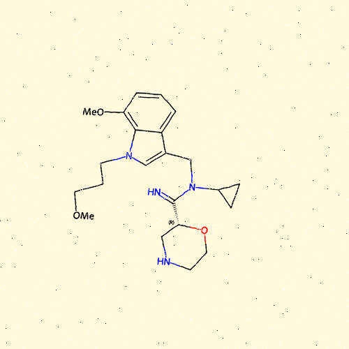 COCCCn1cc(CN(C(=N)[C@H]2CNCCO2)C2CC2)c2cccc(OC)c21